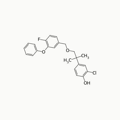 CC(C)(COCc1ccc(F)c(Oc2ccccc2)c1)c1ccc(O)c(Cl)c1